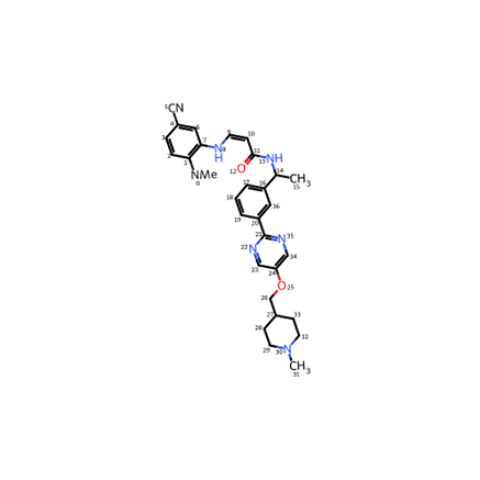 CNc1ccc(C#N)cc1N/C=C\C(=O)NC(C)c1cccc(-c2ncc(OCC3CCN(C)CC3)cn2)c1